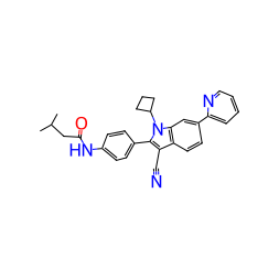 CC(C)CC(=O)Nc1ccc(-c2c(C#N)c3ccc(-c4ccccn4)cc3n2C2CCC2)cc1